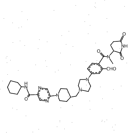 CN(C(=O)c1ccc(N2CCN(CC3CCN(c4cnc(C(=O)NC5CCCCC5)cn4)CC3)CC2)cc1C=O)C1CCC(=O)NC1=O